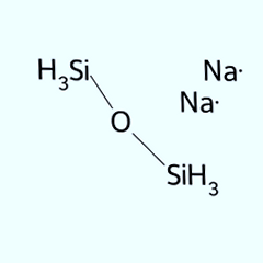 [Na].[Na].[SiH3]O[SiH3]